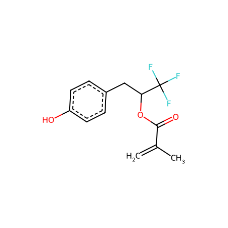 C=C(C)C(=O)OC(Cc1ccc(O)cc1)C(F)(F)F